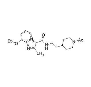 CCOc1cccn2c(C(=O)NCCC3CCN(C(C)=O)CC3)c(C)nc12